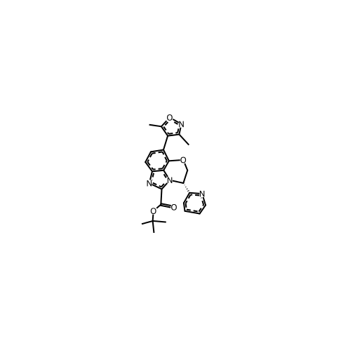 Cc1noc(C)c1-c1ccc2nc(C(=O)OC(C)(C)C)n3c2c1OC[C@@H]3c1ccccn1